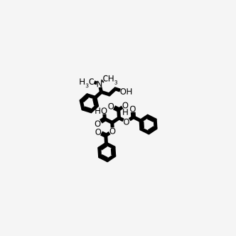 CN(C)C(CCO)c1ccccc1.O=C(OC(C(=O)O)C(OC(=O)c1ccccc1)C(=O)O)c1ccccc1